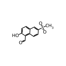 CS(=O)(=O)c1ccc2c(C=O)c(O)ccc2c1